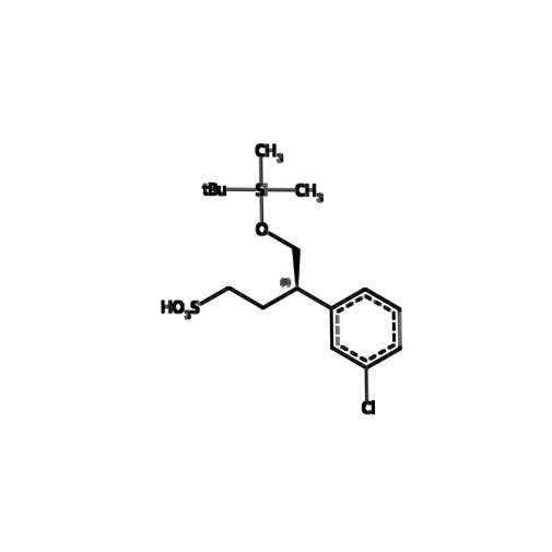 CC(C)(C)[Si](C)(C)OC[C@H](CCS(=O)(=O)O)c1cccc(Cl)c1